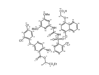 CCOC(=O)C(C)OC(=O)c1cc(Oc2ccc(C(F)(F)F)cc2Cl)ccc1[N+](=O)[O-].COc1cc(OC)nc(NC(=O)NS(=O)(=O)c2ncccc2C(F)(F)F)n1.O=C(O)COc1ccc(Cl)c2cccnc12